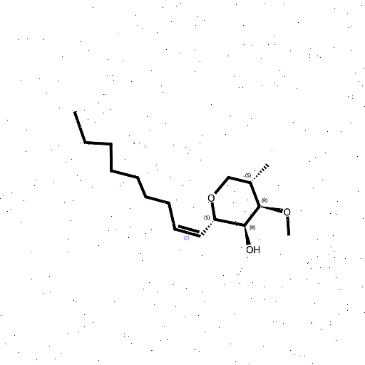 CCCCCCC/C=C\[C@@H]1OC[C@H](C)[C@@H](OC)[C@H]1O